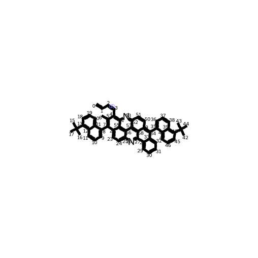 C=C/C=C\c1c(C)c(-c2cccc3c(C(C)(C)C)cccc23)c2ccc3nc4c5ccccc5c(-c5cccc6c(C(C)(C)C)cccc56)c5ccc6nc1c2c3c6c54